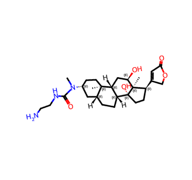 CN(C(=O)NCCN)[C@@H]1CC[C@]2(C)[C@H](CC[C@@H]3[C@H]2C[C@@H](O)[C@@]2(C)[C@@H](C4=CC(=O)OC4)CC[C@@]32O)C1